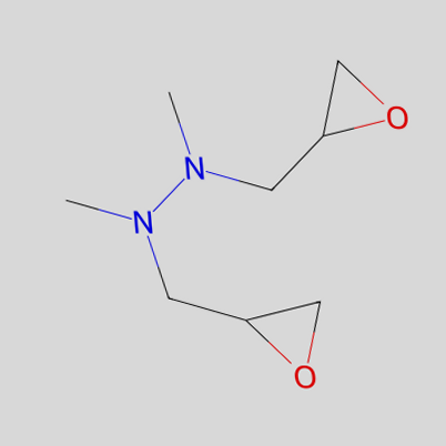 CN(CC1CO1)N(C)CC1CO1